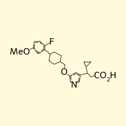 COc1ccc(F)c(C2CCC(COc3cncc(C(CC(=O)O)C4CC4)c3)CC2)c1